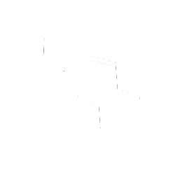 C[CH]c1ccc(Cl)c(C(F)F)c1